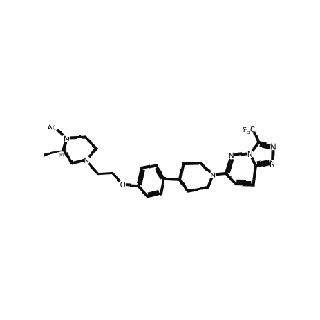 CC(=O)N1CCN(CCOc2ccc(C3CCN(c4ccc5nnc(C(F)(F)F)n5n4)CC3)cc2)C[C@H]1C